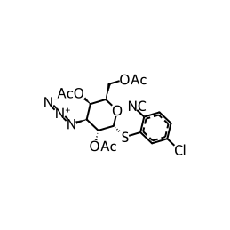 CC(=O)OC[C@H]1O[C@H](Sc2cc(Cl)ccc2C#N)[C@H](OC(C)=O)[C@@H](N=[N+]=[N-])[C@H]1OC(C)=O